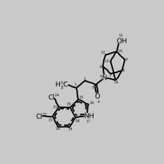 CC(CC(=O)N1C2CC3CC(O)(C2)CC31)c1c[nH]c2ccc(Cl)c(Cl)c12